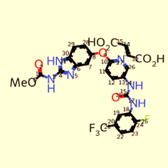 COC(=O)Nc1nc2cc(Oc3ccc(NC(=O)Nc4cc(C(F)(F)F)ccc4F)cn3)ccc2[nH]1.O=C(O)C=CC(=O)O